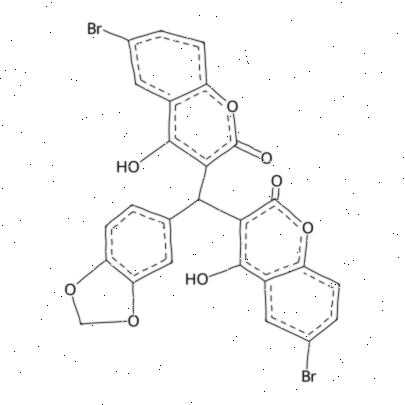 O=c1oc2ccc(Br)cc2c(O)c1C(c1ccc2c(c1)OCO2)c1c(O)c2cc(Br)ccc2oc1=O